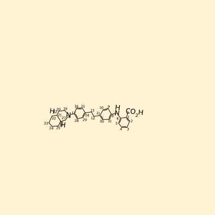 O=C(O)c1ccccc1Nc1ccc(CCc2ccc(N3CC[C@@H]4CCCC[C@H]4C3)cc2)cc1